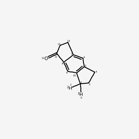 [2H]C1([2H])CCc2cc3c(cc21)C(=O)CC3